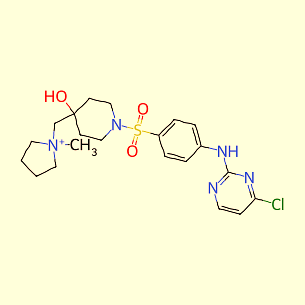 C[N+]1(CC2(O)CCN(S(=O)(=O)c3ccc(Nc4nccc(Cl)n4)cc3)CC2)CCCC1